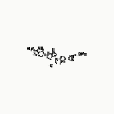 COCCn1cc(-c2ccc3c(n2)CCCN3c2n[nH]c3nc(N4CCC5(CC4)CO[C@@H](C)[C@H]5N)cnc23)cn1.Cl